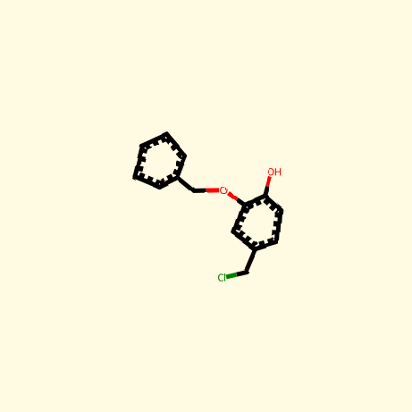 Oc1ccc(CCl)cc1OCc1ccccc1